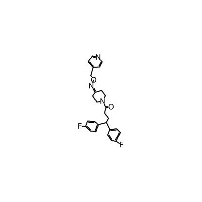 O=C(CCC(c1ccc(F)cc1)c1ccc(F)cc1)N1CCC(=NOCc2ccncc2)CC1